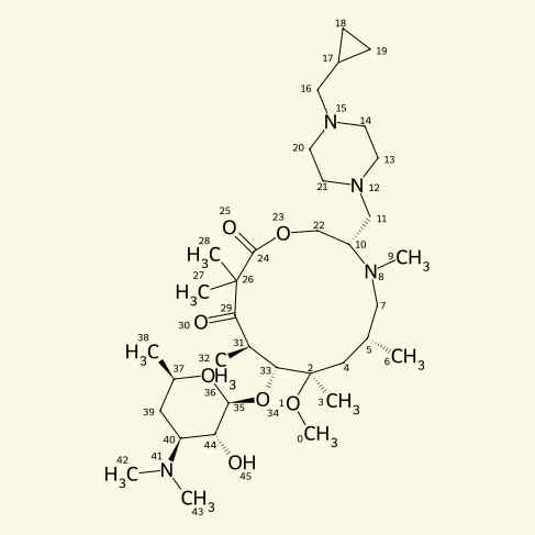 CO[C@]1(C)C[C@@H](C)CN(C)[C@@H](CN2CCN(CC3CC3)CC2)COC(=O)C(C)(C)C(=O)[C@H](C)[C@H]1O[C@@H]1O[C@H](C)C[C@H](N(C)C)[C@H]1O